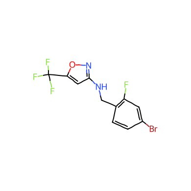 Fc1cc(Br)ccc1CNc1cc(C(F)(F)F)on1